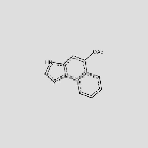 CC(=O)Oc1cc2[nH]ccc2c2ccccc12